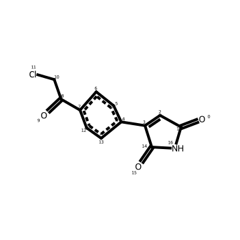 O=C1C=C(c2ccc(C(=O)CCl)cc2)C(=O)N1